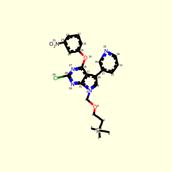 C[Si](C)(C)CCOCn1cc(-c2cccnc2)c2c(Oc3cccc([N+](=O)[O-])c3)nc(Cl)nc21